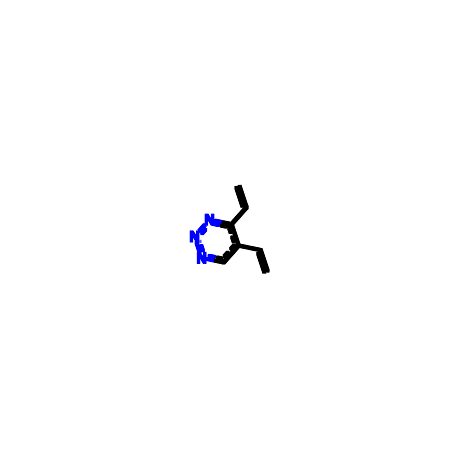 C=Cc1cnnnc1C=C